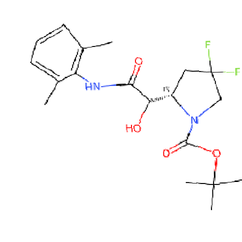 Cc1cccc(C)c1NC(=O)C(O)[C@@H]1CC(F)(F)CN1C(=O)OC(C)(C)C